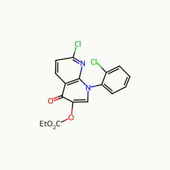 CCOC(=O)Oc1cn(-c2ccccc2Cl)c2nc(Cl)ccc2c1=O